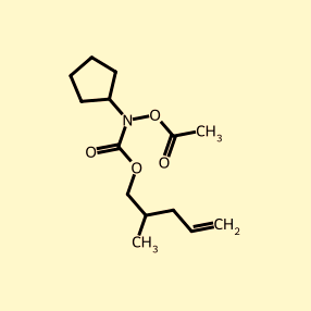 C=CCC(C)COC(=O)N(OC(C)=O)C1CCCC1